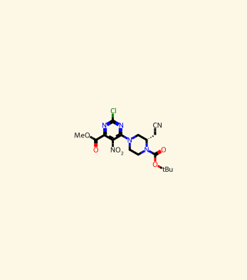 COC(=O)c1nc(Cl)nc(N2CCN(C(=O)OC(C)(C)C)[C@@H](CC#N)C2)c1[N+](=O)[O-]